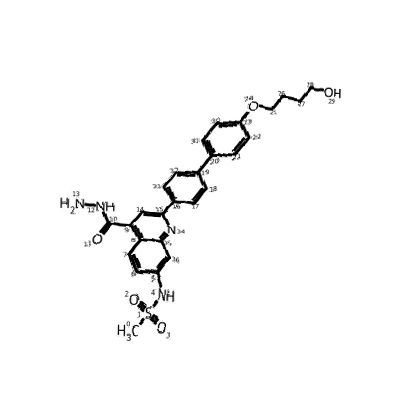 CS(=O)(=O)Nc1ccc2c(C(=O)NN)cc(-c3ccc(-c4ccc(OCCCCO)cc4)cc3)nc2c1